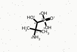 CC(C)(N)C(O)P(=O)(O)O